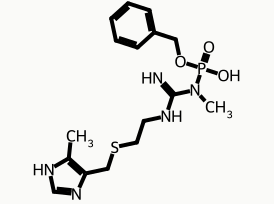 Cc1[nH]cnc1CSCCNC(=N)N(C)P(=O)(O)OCc1ccccc1